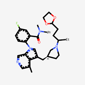 CCC(CCC1OCCO1)N1CC[C@@H](Cc2cn(-c3ccc(F)cc3C(=O)N(C)C(C)C)c3cncc(C)c23)C1